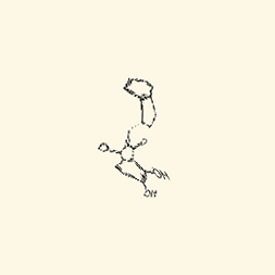 O=C1c2ccc(O)c(O)c2C(=O)N1C[C@H]1CCc2ccccc21